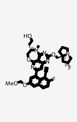 C#Cc1c(F)ccc2cc(OCOC)cc(-c3cc4nc(OC[C@@]56CCCN5C[C@H](F)C6)nc5c4c(n3)OC[C@H](CCO)N5C)c12